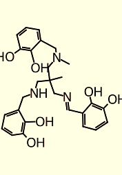 CN(Cc1cccc(O)c1O)CC(C)(C/N=C/c1cccc(O)c1O)CNCc1cccc(O)c1O